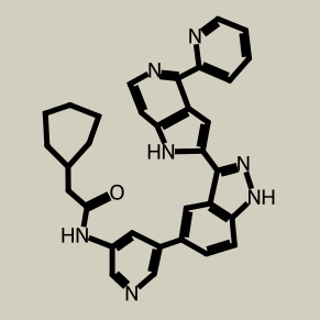 O=C(CC1CCCCC1)Nc1cncc(-c2ccc3[nH]nc(-c4cc5c(-c6ccccn6)nccc5[nH]4)c3c2)c1